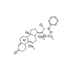 COC(=C1CC[C@H]2[C@@H]3CCC4=CC(=O)CC[C@]4(C)C3=CC[C@]12C)C(Cl)[S+]([O-])c1ccccc1